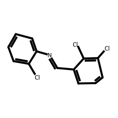 Clc1ccccc1N=Cc1cccc(Cl)c1Cl